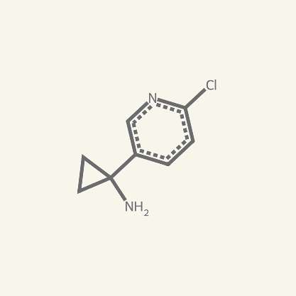 NC1(c2ccc(Cl)nc2)CC1